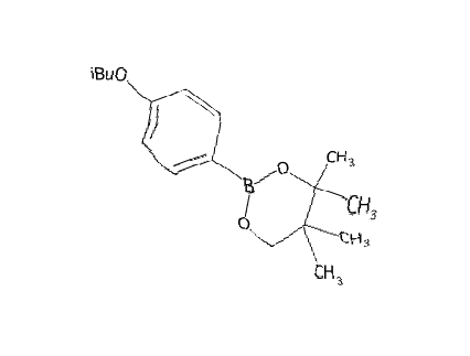 CC(C)COc1ccc(B2OCC(C)(C)C(C)(C)O2)cc1